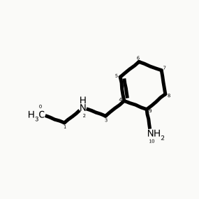 CCNCC1=CCCCC1N